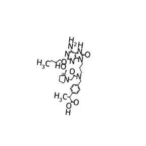 CCCCOc1nc(N)c2[nH]c(=O)n(CCCN(Cc3ccc(C(C)C(=O)O)cc3)C(=O)CN3CCC[C@H]3CO)c2n1